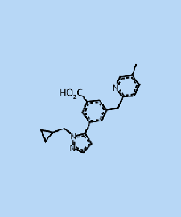 Cc1ccc(Cc2cc(C(=O)O)cc(-c3ccnn3CC3CC3)c2)nc1